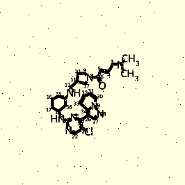 CN(C)C/C=C/C(=O)N1CCC(CN[C@H]2CCCC(Nc3ncc(Cl)c(-c4cnn5ccccc45)n3)C2)C1